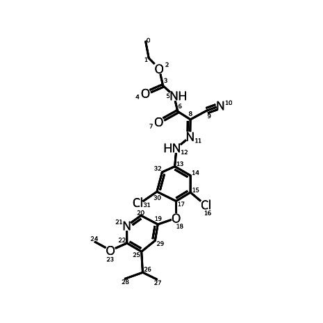 CCOC(=O)NC(=O)C(C#N)=NNc1cc(Cl)c(Oc2cnc(OC)c(C(C)C)c2)c(Cl)c1